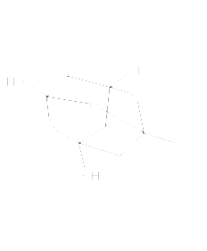 CC12CC3(C)CC(C)(O1)OC(C)(C2)O3